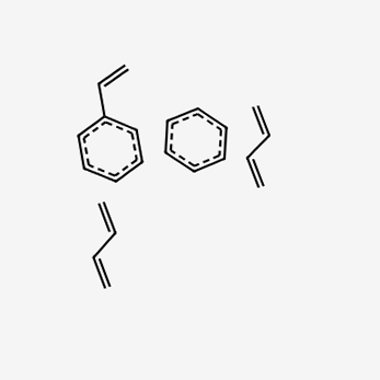 C=CC=C.C=CC=C.C=Cc1ccccc1.c1ccccc1